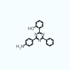 Nc1ccc(-c2nc(-c3ccccc3)nc(-c3ccccc3O)n2)cc1